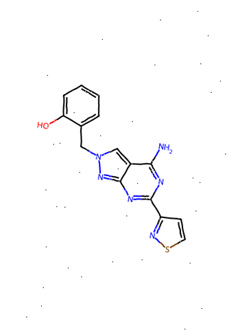 Nc1nc(-c2ccsn2)nc2nn(Cc3ccccc3O)cc12